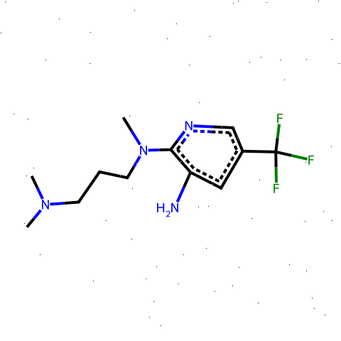 CN(C)CCCN(C)c1ncc(C(F)(F)F)cc1N